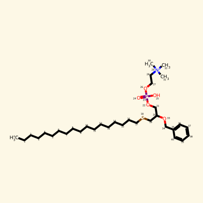 CCCCCCCCCCCCCCCCCCSCC(COP(=O)(O)OCC[N+](C)(C)C)OCc1ccccc1